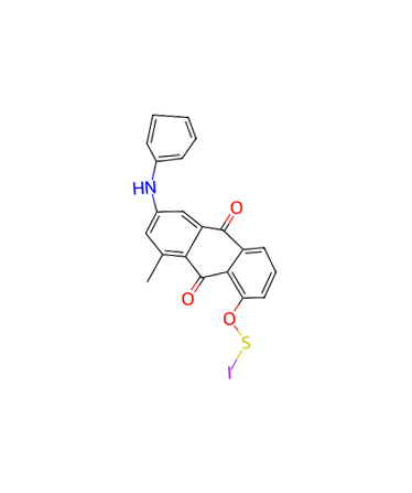 Cc1cc(Nc2ccccc2)cc2c1C(=O)c1c(OSI)cccc1C2=O